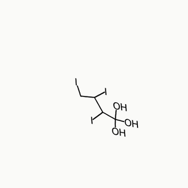 OC(O)(O)C(I)C(I)CI